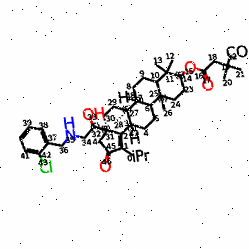 CC(C)C1=C2[C@H]3CCC4[C@@H](CCC5C(C)(C)[C@@H](OC(=O)CC(C)(C)C(=O)O)CC[C@]45C)[C@]3(C)CC[C@@]2([C@H](O)CNCc2ccccc2Cl)CC1=O